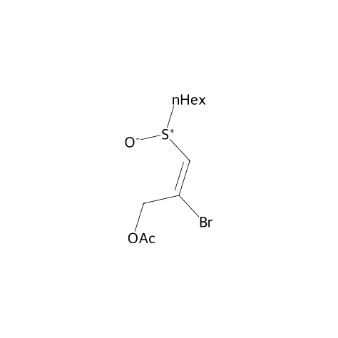 CCCCCC[S+]([O-])/C=C(/Br)COC(C)=O